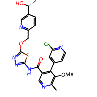 COc1c(C)ncc(C(=O)Nc2nnc(OCc3ccc([C@@H](C)O)cn3)s2)c1-c1ccnc(Cl)c1